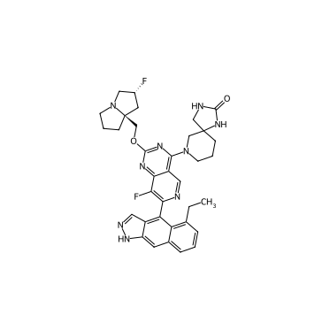 CCc1cccc2cc3[nH]ncc3c(-c3ncc4c(N5CCCC6(CNC(=O)N6)C5)nc(OC[C@@]56CCCN5C[C@H](F)C6)nc4c3F)c12